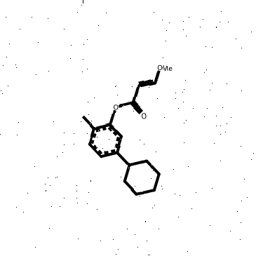 COC=CC(=O)Oc1cc(C2CCCCC2)ccc1C